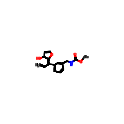 C=C/C(=C1/OC=CC1O)c1cccc(CNC(=O)OC(C)(C)C)c1